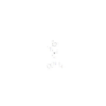 C1CCCC1.O=C(O)NC(CCN1CC2CN(C(=O)c3cccnc3)C[C@@H]2C1)c1ccccc1